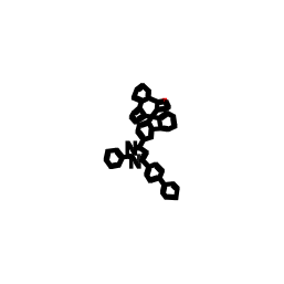 c1ccc(-c2ccc(-c3cc(-c4ccc5c(c4)-c4ccccc4C54c5ccccc5-c5ccccc5-c5ccccc54)nc(-c4ccccc4)n3)cc2)cc1